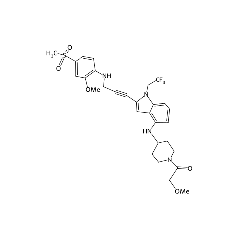 COCC(=O)N1CCC(Nc2cccc3c2cc(C#CCNc2ccc(S(C)(=O)=O)cc2OC)n3CC(F)(F)F)CC1